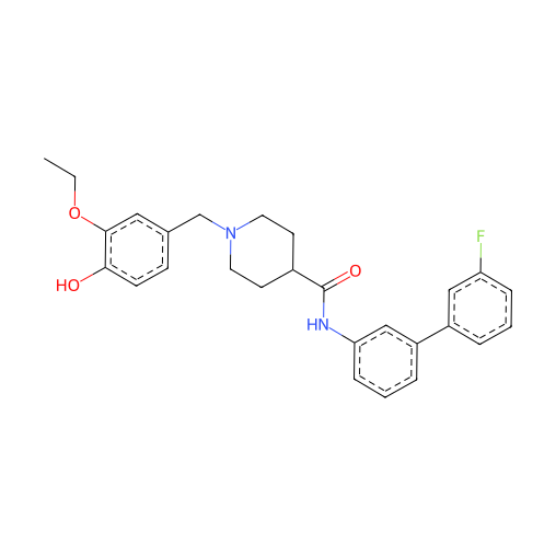 CCOc1cc(CN2CCC(C(=O)Nc3cccc(-c4cccc(F)c4)c3)CC2)ccc1O